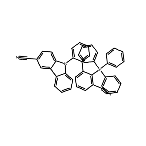 N#Cc1ccc2c(c1)c1ccccc1n2-c1ccccc1-c1cccc(C#N)c1[Si](c1ccccc1)(c1ccccc1)c1ccccc1